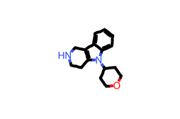 c1ccc2c(c1)c1c(n2C2CCOCC2)CCNC1